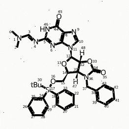 CN(C)/C=N/c1nc2c(ncn2[C@@H]2O[C@H](CO[Si](c3ccccc3)(c3ccccc3)C(C)(C)C)[C@@H]3[C@H]2OC(=O)N3Cc2ccccc2)c(=O)[nH]1